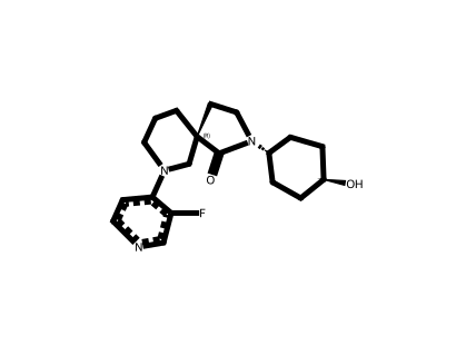 O=C1N([C@H]2CC[C@H](O)CC2)CC[C@@]12CCCN(c1ccncc1F)C2